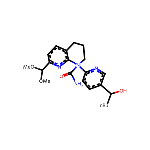 CCCCC(O)c1ccc([N+]2(C(N)=O)CCCc3ccc(C(OC)OC)nc32)nc1